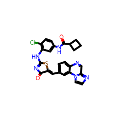 O=C1N=C(Nc2cc(NC(=O)C3CCC3)ccc2Cl)S/C1=C\c1ccc2ncc3nccn3c2c1